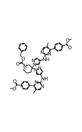 COC(=O)c1ccc(-c2nc(Nc3cnn(C4(n5cc(Nc6ncc(C)c(-c7ccc(C(=O)OC)cc7)n6)cn5)CCCN(C(=O)OCc5ccccc5)C4)c3)ncc2C)cc1